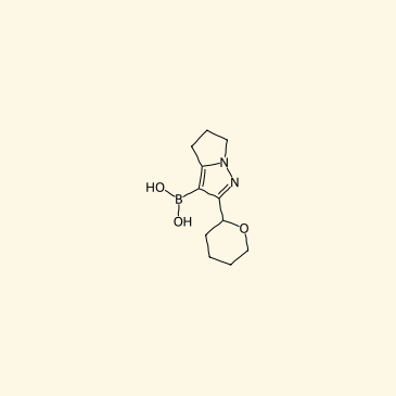 OB(O)c1c(C2CCCCO2)nn2c1CCC2